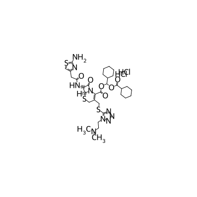 CN(C)CCn1nnnc1SCC1=C(C(=O)OC(OC(=O)C2CCCCC2)C2CCCCC2)N2C(=O)[C@@H](NC(=O)Cc3csc(N)n3)[C@@H]2SC1.Cl.Cl